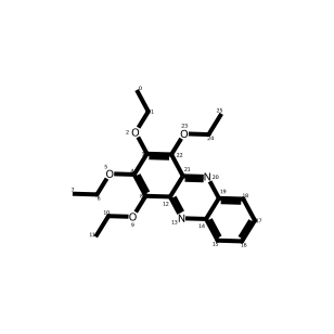 CCOc1c(OCC)c(OCC)c2nc3ccccc3nc2c1OCC